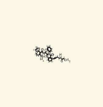 C=CC(=O)NCCC#Cc1cccc2nc([C@@H](C)NC(=O)c3c(N)ncn4ccnc34)n(-c3ccccc3)c(=O)c12